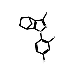 Fc1ccc(-n2nc(I)c3c2C2CCC3C2)c(F)c1